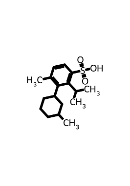 Cc1ccc(S(=O)(=O)O)c(C(C)C)c1C1CCCC(C)C1